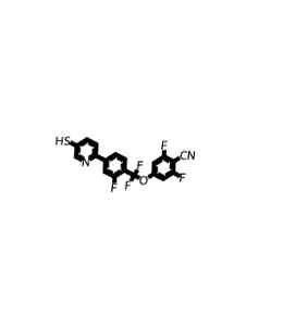 N#Cc1c(F)cc(OC(F)(F)c2ccc(-c3ccc(S)cn3)cc2F)cc1F